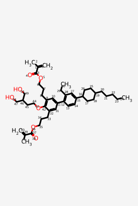 C=C(C)C(=O)OCCCc1cc(-c2ccc(C3CCC(CCCCC)CC3)cc2CC)cc(CCCOC(=O)C(=C)C)c1OCCC(CO)CO